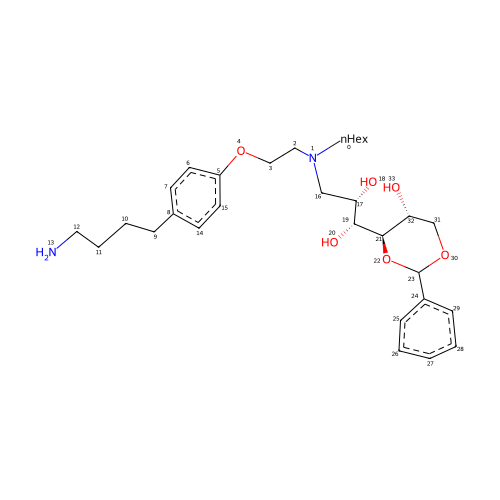 CCCCCCN(CCOc1ccc(CCCCN)cc1)C[C@H](O)[C@@H](O)[C@@H]1OC(c2ccccc2)OC[C@H]1O